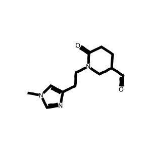 Cn1cnc(CCN2CC(C=O)CCC2=O)c1